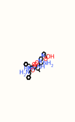 CC(C)C[C@@H](NC(=O)[C@@H](Cc1ccccc1)NC(=O)[C@H](N)Cc1ccccc1)C(=O)N[C@H](CCN)C(=O)N1CCC(N2CCC[C@H]2C(=O)O)CC1